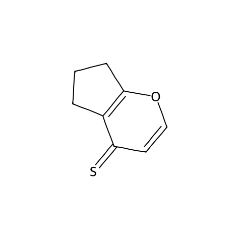 S=c1ccoc2c1CCC2